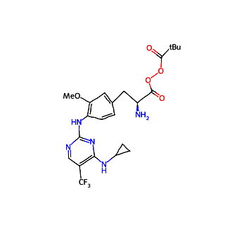 COc1cc(C[C@H](N)C(=O)OOC(=O)C(C)(C)C)ccc1Nc1ncc(C(F)(F)F)c(NC2CC2)n1